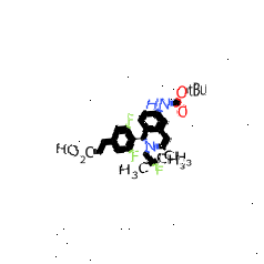 C[C@@H]1Cc2cc(NC(=O)OC(C)(C)C)ccc2[C@@H](c2c(F)cc(/C=C/C(=O)O)cc2F)N1CC(C)(C)F